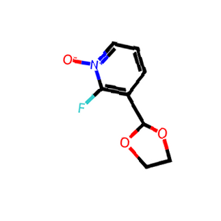 [O-][n+]1cccc(C2OCCO2)c1F